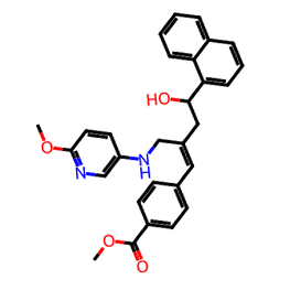 COC(=O)c1ccc(C=C(CNc2ccc(OC)nc2)CC(O)c2cccc3ccccc23)cc1